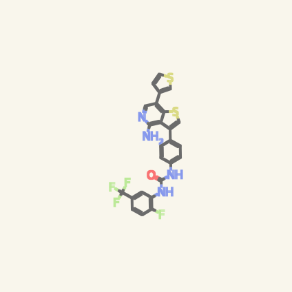 Nc1ncc(-c2ccsc2)c2scc(-c3ccc(NC(=O)Nc4cc(C(F)(F)F)ccc4F)cc3)c12